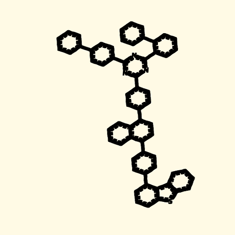 c1ccc(-c2ccc(-c3nc(-c4ccc(-c5ccc(-c6ccc(-c7cccc8sc9ccccc9c78)cc6)c6ccccc56)cc4)nc(-c4ccccc4-c4ccccc4)n3)cc2)cc1